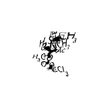 CC(=O)C1C([C@@H](C)OC(=O)OCC(Cl)(Cl)Cl)C(=O)N1[SiH2]C(C)(C)C(C)C